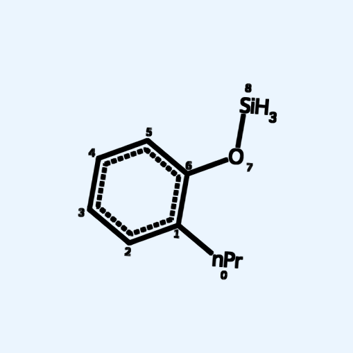 CCCc1ccccc1O[SiH3]